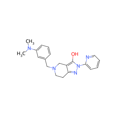 CN(C)c1cccc(CN2CCc3nn(-c4ccccn4)c(O)c3C2)c1